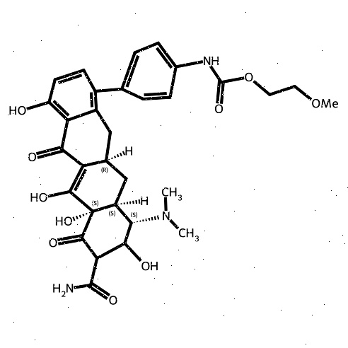 COCCOC(=O)Nc1ccc(-c2ccc(O)c3c2C[C@H]2C[C@H]4[C@H](N(C)C)C(O)C(C(N)=O)C(=O)[C@@]4(O)C(O)=C2C3=O)cc1